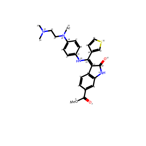 COC(=O)c1ccc2c(c1)NC(=O)C2=C(Nc1ccc(N(CCN(C)C)C(C)=O)cc1)c1ccsc1